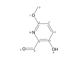 COc1ccc(O)c(C=O)n1